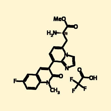 COC(=O)[C@@H](N)Cc1ccc(-c2cc3cc(F)ccc3n(C)c2=O)c2nccn12.O=C(O)C(F)(F)F